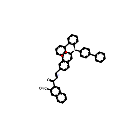 O=Cc1cc2ccccc2cc1C(=O)/C=C/c1ccc2cc(N(c3ccc(-c4ccccc4)cc3)c3ccccc3-c3ccccc3)ccc2c1